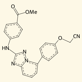 COC(=O)c1ccc(Nc2nc3cccc(-c4ccc(OCC#N)cc4)n3n2)cc1